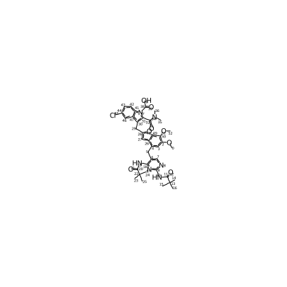 COc1cc(Cc2cnc(NC(=O)C(C)(C)C)nc2NC(=O)C(C)(C)C)c2cc(Cc3c(C(=O)N(C)C)n(C(=O)O)c4ccc(Cl)cc34)oc2c1OC